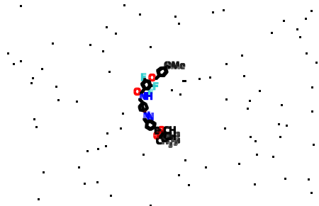 COc1ccc(COc2c(F)cc(C(=O)NCC34CCC(n5cc6ccc(B7OC(C)(C)C(C)(C)O7)cc6n5)(CC3)CC4)c(F)c2F)cc1